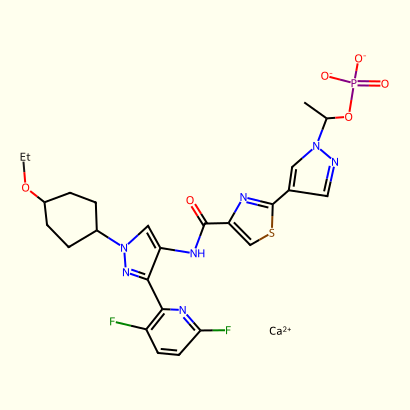 CCOC1CCC(n2cc(NC(=O)c3csc(-c4cnn(C(C)OP(=O)([O-])[O-])c4)n3)c(-c3nc(F)ccc3F)n2)CC1.[Ca+2]